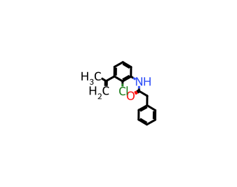 C=C(C)c1cccc(NC(=O)Cc2ccccc2)c1Cl